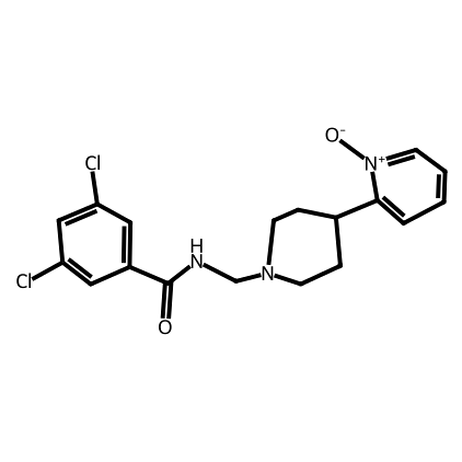 O=C(NCN1CCC(c2cccc[n+]2[O-])CC1)c1cc(Cl)cc(Cl)c1